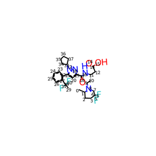 CC1CCC(F)(F)CN1CC[C@@H](CC(=O)O)NC(=O)c1cc(-c2ccccc2C(C)(F)F)n(C2CCCC2)n1